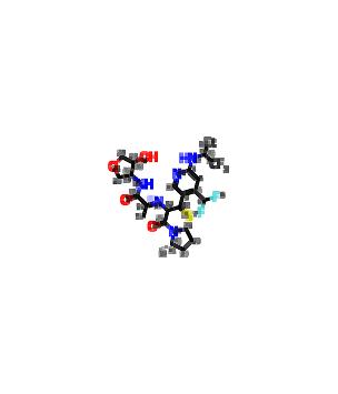 CC[C@H](Nc1cc(C(F)F)c(C(=S)C(/N=C(\C)C(=O)N[C@H]2COC[C@H]2O)C(=O)N2CCC[C@@H]2C)cn1)C(F)(F)F